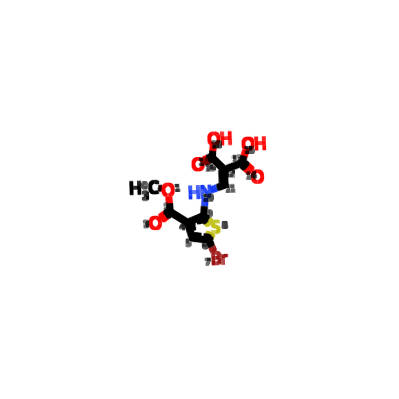 COC(=O)c1cc(Br)sc1NC=C(C(=O)O)C(=O)O